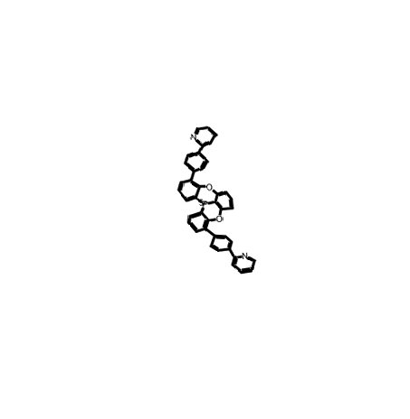 S=P12c3cccc(-c4ccc(-c5ccccn5)cc4)c3Oc3cccc(c31)Oc1c(-c3ccc(-c4ccccn4)cc3)cccc12